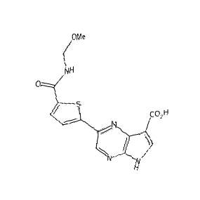 COCNC(=O)c1ccc(-c2cnc3[nH]cc(C(=O)O)c3n2)s1